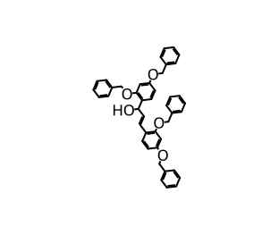 OC(C=Cc1ccc(OCc2ccccc2)cc1OCc1ccccc1)c1ccc(OCc2ccccc2)cc1OCc1ccccc1